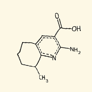 CC1CCCc2cc(C(=O)O)c(N)nc21